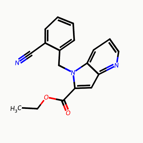 CCOC(=O)c1cc2ncccc2n1Cc1ccccc1C#N